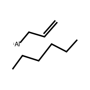 C=C[CH2][Al].CCCCCC